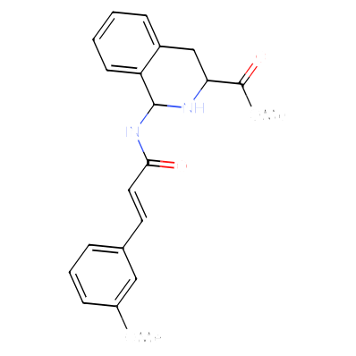 COC(=O)C1Cc2ccccc2C(NC(=O)C=Cc2cccc(OC)c2)N1